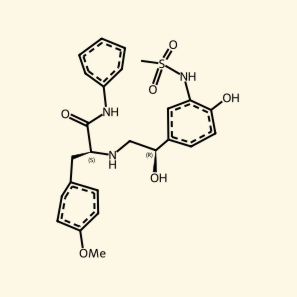 COc1ccc(C[C@H](NC[C@H](O)c2ccc(O)c(NS(C)(=O)=O)c2)C(=O)Nc2ccccc2)cc1